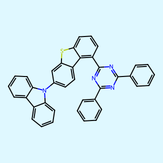 c1ccc(-c2nc(-c3ccccc3)nc(-c3cccc4sc5cc(-n6c7ccccc7c7ccccc76)ccc5c34)n2)cc1